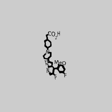 COc1ccc(F)cc1-c1c(F)cnc2[nH]c(C3=CCN(C4CCC(CC(=O)O)CC4)CC3)cc12